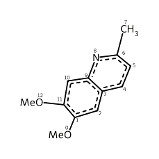 COc1cc2ccc(C)nc2cc1OC